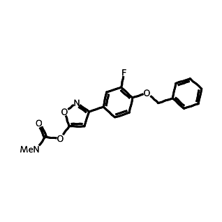 CNC(=O)Oc1cc(-c2ccc(OCc3ccccc3)c(F)c2)no1